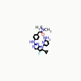 CN(C)C(=O)Cc1ccc(Nc2ncc3c(F)c(C4CC4)n(-c4cccc(N)n4)c3n2)cc1